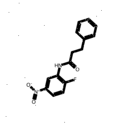 O=C(CCc1ccccc1)Nc1cc([N+](=O)[O-])ccc1F